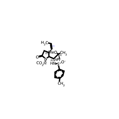 C/C=C\[C@@H]1CC(=O)N(C(=O)O)C1[C@@H](N[S+]([O-])c1ccc(C)cc1)[C@](C)(CCC)OC